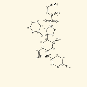 CN/C=C\C(=N)S(=O)(=O)N1CCC(CC2CCCCC2)(C2CC(C=N)C(NC3CCC(F)CC3)CC2Cl)C1